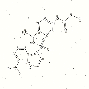 CN(C)c1cccc2c(S(=O)(=O)OC(c3ccc(OC(=O)CCl)cn3)C(F)(F)F)cccc12